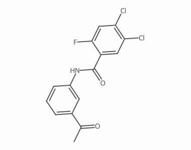 CC(=O)c1cccc(NC(=O)c2cc(Cl)c(Cl)cc2F)c1